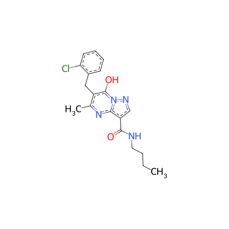 CCCCNC(=O)c1cnn2c(O)c(Cc3ccccc3Cl)c(C)nc12